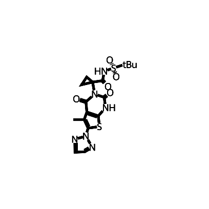 Cc1c(-n2nccn2)sc2[nH]c(=O)n(C3(C(=O)NS(=O)(=O)C(C)(C)C)CC3)c(=O)c12